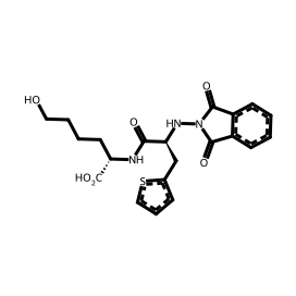 O=C(O)[C@H](CCCCO)NC(=O)[C@H](Cc1cccs1)NN1C(=O)c2ccccc2C1=O